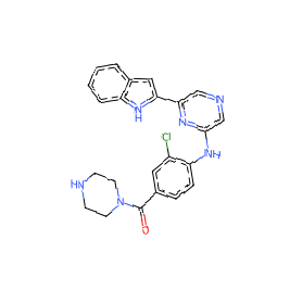 O=C(c1ccc(Nc2cncc(-c3cc4ccccc4[nH]3)n2)c(Cl)c1)N1CCNCC1